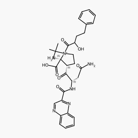 CC(C)(C)[N+]1(C(=O)C(O)CCc2ccccc2)CC[C@H](C(=O)[C@H](CC(N)=O)NC(=O)c2cnc3ccccc3n2)[C@@]1(N)C(=O)O